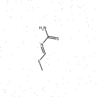 CSC=NC(N)=S